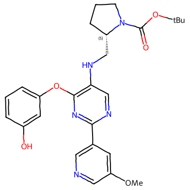 COc1cncc(-c2ncc(NC[C@@H]3CCCN3C(=O)OC(C)(C)C)c(Oc3cccc(O)c3)n2)c1